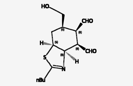 CCCCC1=N[C@@H]2[C@H](C=O)[C@H](C=O)[C@H](CO)C[C@@H]2S1